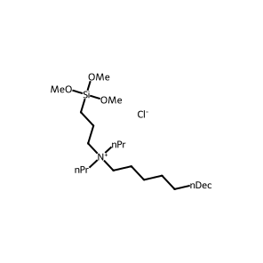 CCCCCCCCCCCCCCC[N+](CCC)(CCC)CCC[Si](OC)(OC)OC.[Cl-]